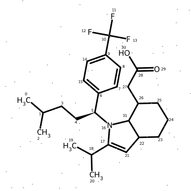 CC(C)CC[C@@H](c1ccc(C(F)(F)F)cc1)N1C(C(C)C)=CC2CCCC(CC(=O)O)C21